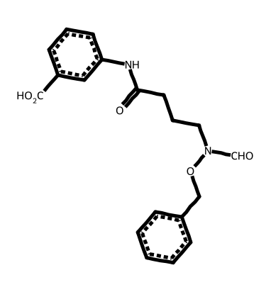 O=CN(CCCC(=O)Nc1cccc(C(=O)O)c1)OCc1ccccc1